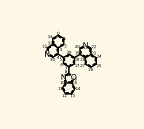 c1ccc2c(-c3cc(-c4nc5ccccc5o4)cc(-c4cncc5ccccc45)c3)cncc2c1